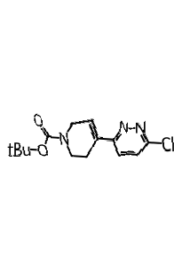 CC(C)(C)OC(=O)N1CC=C(c2ccc(Cl)nn2)CC1